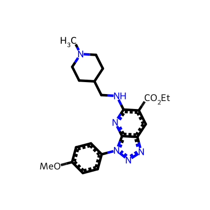 CCOC(=O)c1cc2nnn(-c3ccc(OC)cc3)c2nc1NCC1CCN(C)CC1